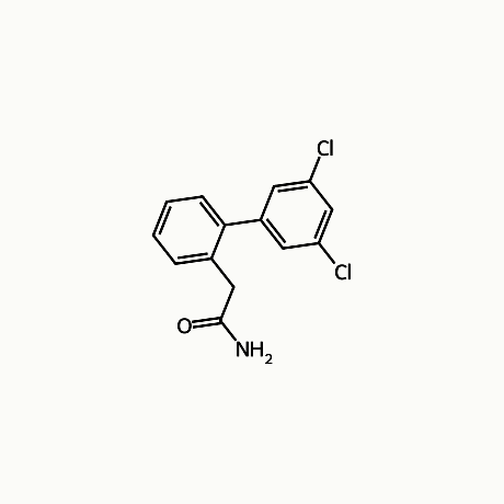 NC(=O)Cc1ccccc1-c1cc(Cl)cc(Cl)c1